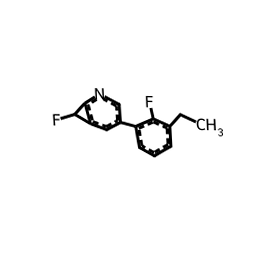 CCc1cccc(-c2cnc3c(c2)C3F)c1F